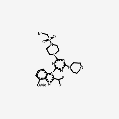 COc1cccc2c1nc(C(F)F)n2-c1nc(N2CCOCC2)nc(N2CCN(S(=O)(=O)CBr)CC2)n1